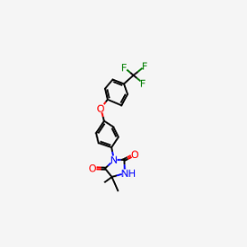 CC1(C)NC(=O)N(c2ccc(Oc3ccc(C(F)(F)F)cc3)cc2)C1=O